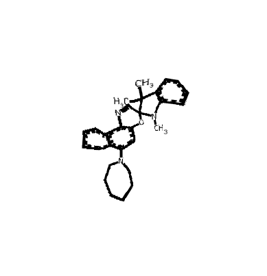 CN1c2ccccc2C(C)(C)C12C=Nc1c(cc(N3CCCCCC3)c3ccccc13)O2